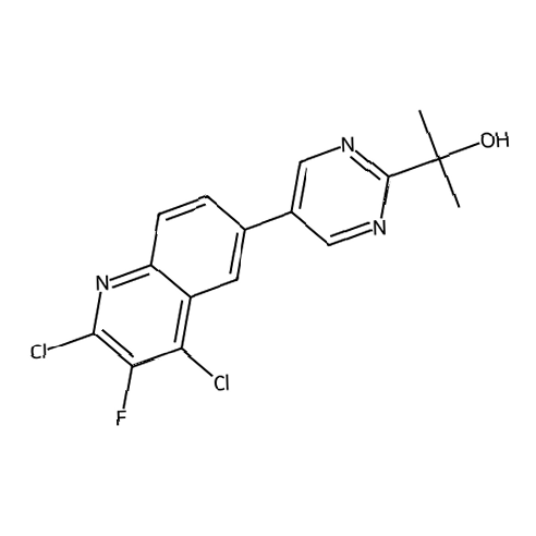 CC(C)(O)c1ncc(-c2ccc3nc(Cl)c(F)c(Cl)c3c2)cn1